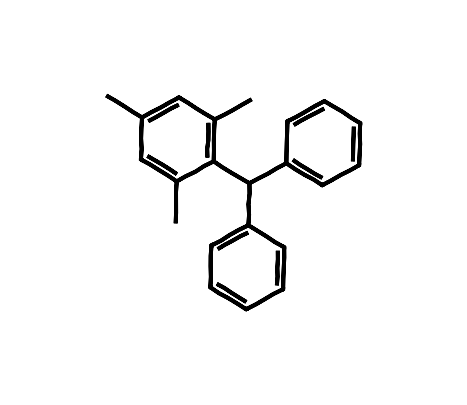 Cc1cc(C)c(C(c2ccccc2)c2ccccc2)c(C)c1